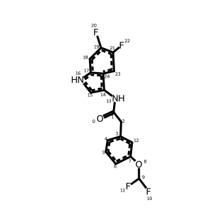 O=C(Cc1cccc(OC(F)F)c1)Nc1c[nH]c2cc(F)c(F)cc12